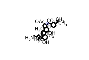 CC(=O)OC1CC2(C)[C@@H](C[C@@H](O)[C@@H]3C2(C)CC[C@@]2(n4cc(CN)nn4)C(C)[C@H](O)CCC32C)/C1=C(/C(=O)O)C1CCCC(=C(C)C)C1